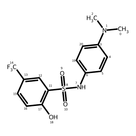 CN(C)c1ccc(NS(=O)(=O)c2cc(C(F)(F)F)ccc2O)cc1